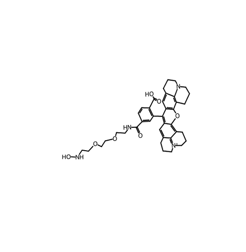 O=C(NCCOCCOCCNO)c1ccc(C(=O)O)c(C2=c3cc4c5c(c3Oc3c2cc2c6c3CCCN6CCC2)CCC[N+]=5CCC4)c1